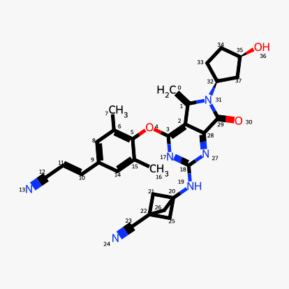 C=C1c2c(Oc3c(C)cc(/C=C/C#N)cc3C)nc(NC34CC(C#N)(C3)C4)nc2C(=O)N1[C@H]1CC[C@@H](O)C1